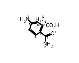 CC(=O)O.NC(=O)c1ccc(N)cc1